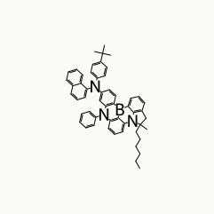 CCCCCCC1(C)Cc2cccc3c2N1c1cccc2c1B3c1ccc(N(c3ccc(C(C)(C)C)cc3)c3cccc4ccccc34)cc1N2c1ccccc1